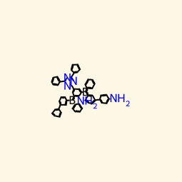 Nc1ccc(-c2cccc(B(c3ccccc3)c3cc(-c4nc(-c5ccccc5)nc(-c5ccccc5)n4)cc(B(c4ccccc4)c4cccc(-c5ccccc5)c4)c3N)c2)cc1